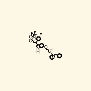 O=C(CC(c1ccc(F)cc1)c1c[nH]c2cc(OCCCNc3cccc[n+]3Cc3ccccc3)ccc12)OC(=O)C(F)(F)F